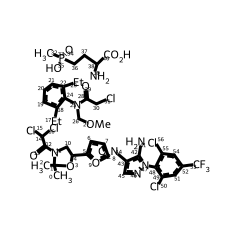 CC1(C)OC(c2ccco2)CN1C(=O)C(Cl)Cl.CCc1cccc(CC)c1N(COC)C(=O)CCl.CP(=O)(O)CCC(N)C(=O)O.Nc1c([N+](=O)[O-])cnn1-c1c(Cl)cc(C(F)(F)F)cc1Cl